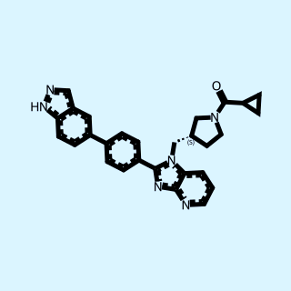 O=C(C1CC1)N1CC[C@H](Cn2c(-c3ccc(-c4ccc5[nH]ncc5c4)cc3)nc3ncccc32)C1